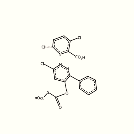 CCCCCCCCSC(=O)Oc1cc(Cl)nnc1-c1ccccc1.O=C(O)c1nc(Cl)ccc1Cl